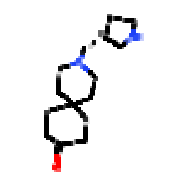 O=C1CCC2(CC1)CCN(C[C@@H]1CCNC1)CC2